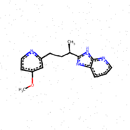 COc1ccnc(CC[C@@H](C)c2nc3cccnc3[nH]2)c1